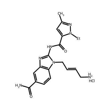 CCn1nc(C)cc1C(=O)Nc1nc2cc(C(N)=O)ccc2n1C/C=C/CN.Cl